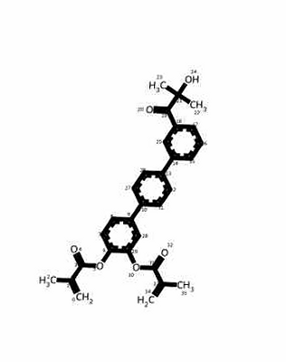 C=C(C)C(=O)Oc1ccc(-c2ccc(-c3cccc(C(=O)C(C)(C)O)c3)cc2)cc1OC(=O)C(=C)C